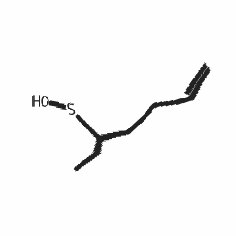 C=CCCC(C)SO